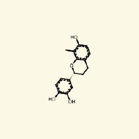 Cc1c(O)ccc2c1O[C@@H](c1ccc(O)c(O)c1)CC2